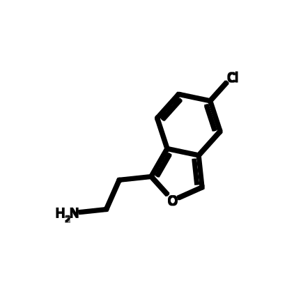 NCCc1occ2cc(Cl)ccc12